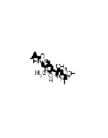 Cc1cc(C(O)C(F)(F)F)ncc1C1=Cc2cnc(NC(=O)C3CC3)cc2N(C)C1O